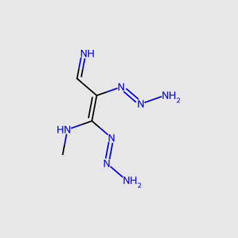 CN/C(N=NN)=C(\C=N)N=NN